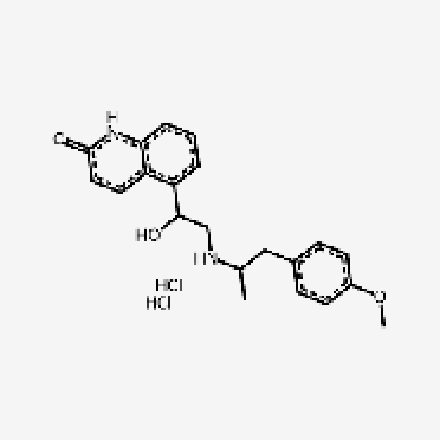 COc1ccc(CC(C)NCC(O)c2cccc3[nH]c(=O)ccc23)cc1.Cl.Cl